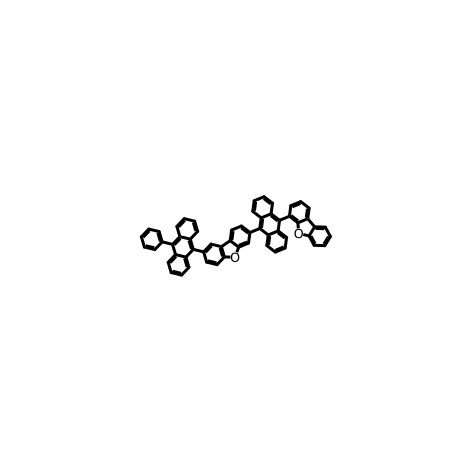 c1ccc(-c2c3ccccc3c(-c3ccc4oc5cc(-c6c7ccccc7c(-c7cccc8c7oc7ccccc78)c7ccccc67)ccc5c4c3)c3ccccc23)cc1